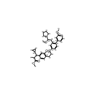 COC(=O)C(C)C(c1ccc2c(c1)O[C@@H](c1ccc(-c3ccnc(OC)c3)c(CC(OC)N3CCCC3)c1)CC2)C1CC1